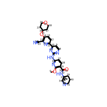 COc1nc(Nc2nccc(-c3ccc(OC4CCOCC4)c(C#N)n3)n2)ccc1C(=O)NC1CN2CCCC1CC2